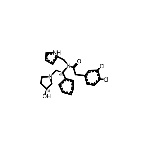 O=C(Cc1ccc(Cl)c(Cl)c1)N(Cc1ccc[nH]1)[C@H](CN1CC[C@H](O)C1)c1ccccc1